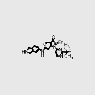 CCn1c(=O)c2cnc(Nc3ccc4c(c3)CNC4)cc2n1-c1ccnc(C(C)(C)F)n1